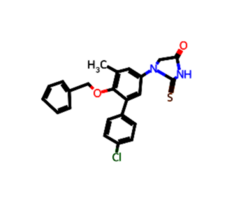 Cc1cc(N2CC(=O)NC2=S)cc(-c2ccc(Cl)cc2)c1OCc1ccccc1